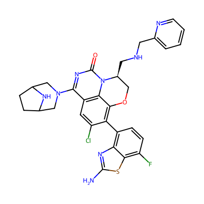 Nc1nc2c(-c3c(Cl)cc4c(N5CC6CCC(C5)N6)nc(=O)n5c4c3OC[C@@H]5CNCc3ccccn3)ccc(F)c2s1